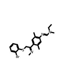 CCN(C)C=Nc1cc(C)c(C(CSc2ccccc2Br)=NC)cc1C